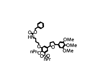 CCCOc1c(OCCCNC(=O)OCc2ccccc2)cc(C2CCC(c3cc(OC)c(OC)c(OC)c3)O2)cc1S(=O)(=O)CCC